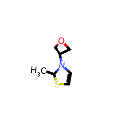 CC1SC=CN1C1COC1